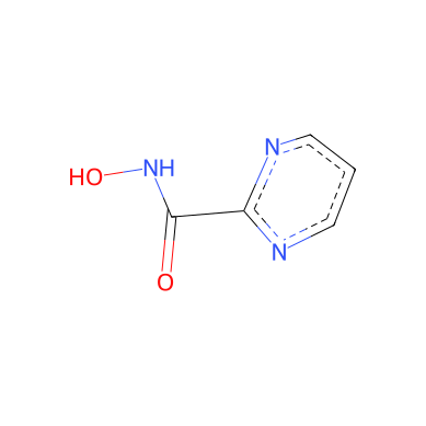 O=C(NO)c1ncccn1